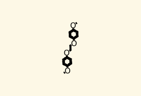 COc1ccc(OCCOc2ccc(OC)cc2)cc1